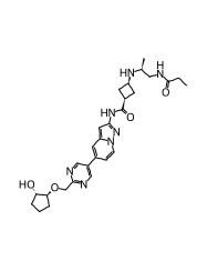 CCC(=O)NC[C@H](C)N[C@H]1C[C@@H](C(=O)Nc2cc3cc(-c4cnc(CO[C@H]5CCC[C@@H]5O)nc4)ccn3n2)C1